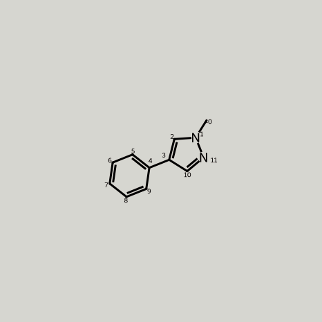 [CH2]n1cc(-c2ccccc2)cn1